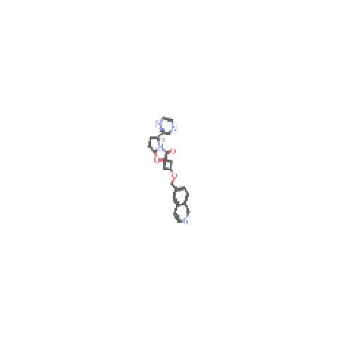 O=C1N2C(CC[C@H]2c2cnccn2)OC12CC(OCc1ccc3cnccc3c1)C2